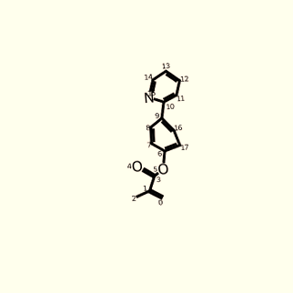 C=C(C)C(=O)Oc1ccc(-c2ccccn2)cc1